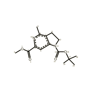 COC(=O)c1cc2c(c(C)n1)CCN2C(=O)OC(C)(C)C